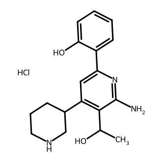 CC(O)c1c(C2CCCNC2)cc(-c2ccccc2O)nc1N.Cl